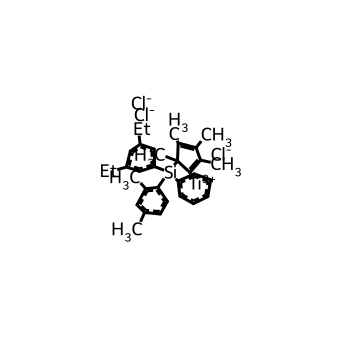 CCc1cc(CC)cc([Si](c2ccccc2)(c2ccc(C)cc2C)C2(C)C(C)=C(C)C(C)=[C]2[Ti+3])c1.[Cl-].[Cl-].[Cl-]